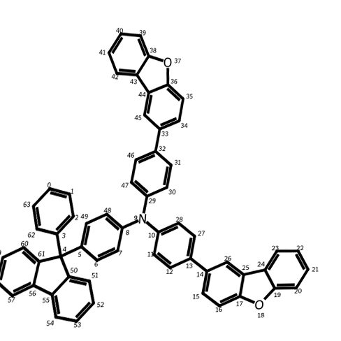 c1ccc(C2(c3ccc(N(c4ccc(-c5ccc6oc7ccccc7c6c5)cc4)c4ccc(-c5ccc6oc7ccccc7c6c5)cc4)cc3)c3ccccc3-c3ccccc32)cc1